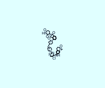 CN1C(=O)CCc2cc(Nc3nc(N4CCN(CC5CCN(c6cccc7c6C(=O)N(C6CCC(=O)NC6=O)C7=O)CC5)CC4)ncc3Cl)ccc21